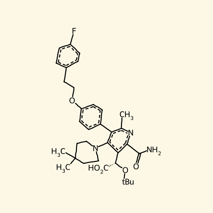 Cc1nc(C(N)=O)c([C@H](OC(C)(C)C)C(=O)O)c(N2CCC(C)(C)CC2)c1-c1ccc(OCCc2ccc(F)cc2)cc1